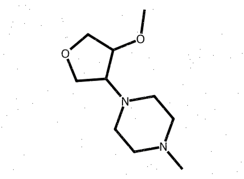 COC1COCC1N1CCN(C)CC1